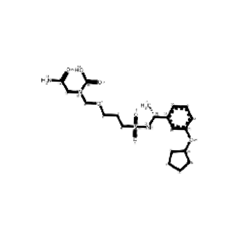 C[C@@H](NS(=O)(=O)CCCOCN(CC(N)=O)C(=O)O)c1cccc(OC2CCCC2)c1